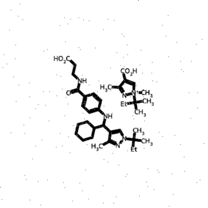 CCC(C)(C)[N+]1(C)C=C(C(=O)O)C(C)=N1.CCC(C)(C)n1cc(C(Nc2ccc(C(=O)NCCC(=O)O)cc2)C2CCCCC2)c(C)n1